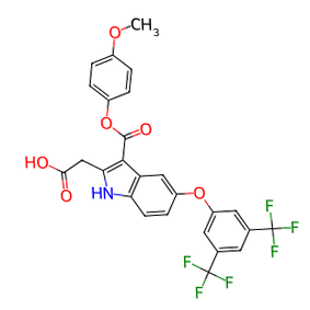 COc1ccc(OC(=O)c2c(CC(=O)O)[nH]c3ccc(Oc4cc(C(F)(F)F)cc(C(F)(F)F)c4)cc23)cc1